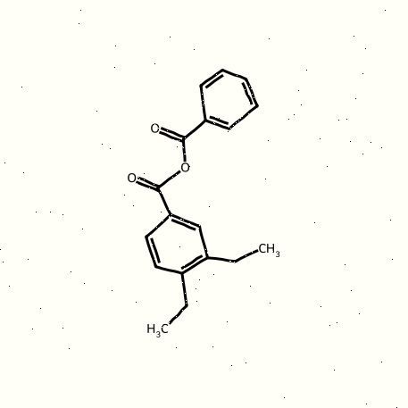 CCc1ccc(C(=O)OC(=O)c2ccccc2)cc1CC